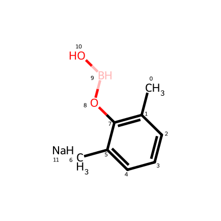 Cc1cccc(C)c1OBO.[NaH]